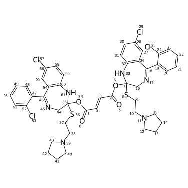 O=C(/C=C/C(=O)OC1(SCCN2CCCC2)CN=C(c2ccccc2Cl)c2cc(Cl)ccc2N1)OC1(SCCN2CCCC2)CN=C(c2ccccc2Cl)c2cc(Cl)ccc2N1